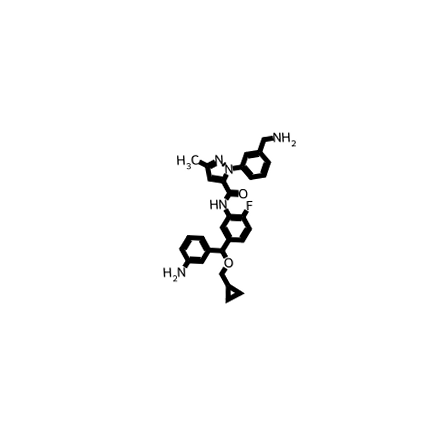 Cc1cc(C(=O)Nc2cc(C(OCC3CC3)c3cccc(N)c3)ccc2F)n(-c2cccc(CN)c2)n1